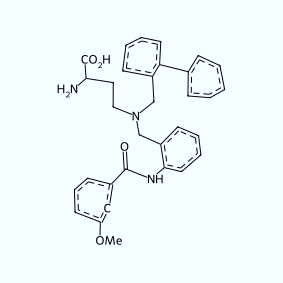 COc1cccc(C(=O)Nc2ccccc2CN(CCC(N)C(=O)O)Cc2ccccc2-c2ccccc2)c1